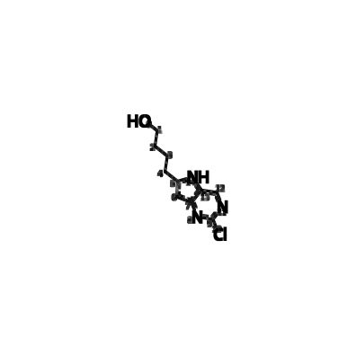 OCCCCc1cc2nc(Cl)ncc2[nH]1